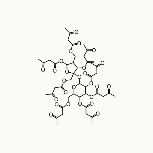 C=C(CC(C)=O)OC1C(COC(=O)CC(C)=O)C(OC(=O)CC(C)=O)OC1(COC(=O)CC(C)=O)OC1OC(COC(=O)CC(C)=O)C(OC(=O)CC(C)=O)C(OC(=O)CC(C)=O)C1OC(=O)CC(C)=O